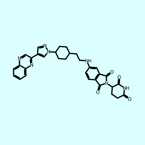 O=C1CCC(N2C(=O)c3ccc(NCCC4CCC(n5cc(-c6cnc7ccccc7n6)cn5)CC4)cc3C2=O)C(=O)N1